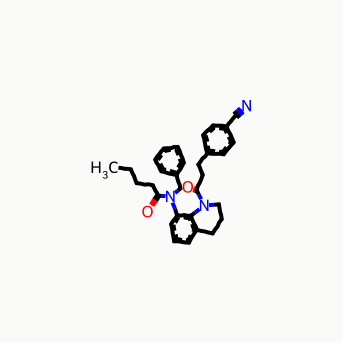 CCCCC(=O)N(Cc1ccccc1)c1cccc2c1N(C(=O)CCc1ccc(C#N)cc1)CCC2